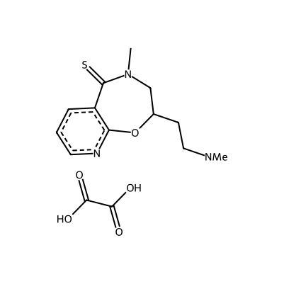 CNCCC1CN(C)C(=S)c2cccnc2O1.O=C(O)C(=O)O